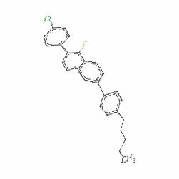 CCCCCc1ccc(-c2ccc3c(F)c(-c4ccc(Cl)cc4)ccc3c2)cc1